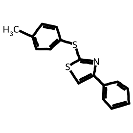 Cc1ccc(Sc2nc(-c3ccccc3)cs2)cc1